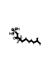 CC(C)CCCCCC(F)(F)C(=O)CP(=O)(O)O